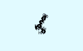 CS(=O)(=O)N1CCN(c2ccc(C3Cc4nccnc4C(NCC4CNCCC4(F)F)=N3)cn2)CC1